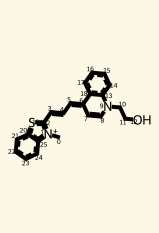 C[n+]1c(C=CC=C2C=CN(CCO)c3ccccc32)sc2ccccc21